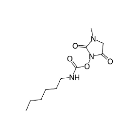 CCCCCCNC(=O)ON1C(=O)CN(C)C1=O